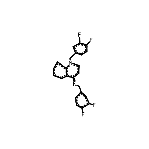 Fc1ccc(CN=c2ccn(Cc3ccc(F)c(F)c3)c3ccccc23)cc1F